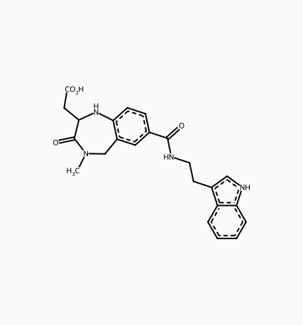 CN1Cc2cc(C(=O)NCCc3c[nH]c4ccccc34)ccc2NC(CC(=O)O)C1=O